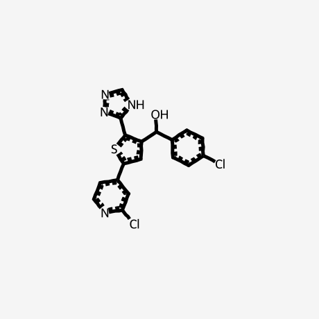 OC(c1ccc(Cl)cc1)c1cc(-c2ccnc(Cl)c2)sc1-c1nnc[nH]1